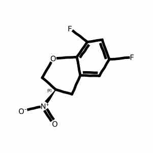 O=[N+]([O-])[C@H]1COc2c(F)cc(F)cc2C1